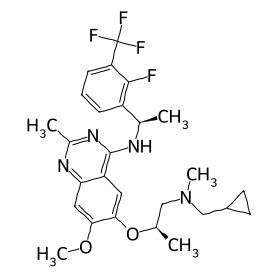 COc1cc2nc(C)nc(N[C@H](C)c3cccc(C(F)(F)F)c3F)c2cc1O[C@H](C)CN(C)CC1CC1